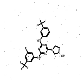 O[C@H]1CCN(c2nc(Nc3cccc(C(F)(F)F)c3)nc(Nc3cc(F)cc(C(F)(F)F)c3)n2)C1